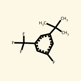 CC(C)(C)c1cc(F)cc(C(F)(F)F)c1